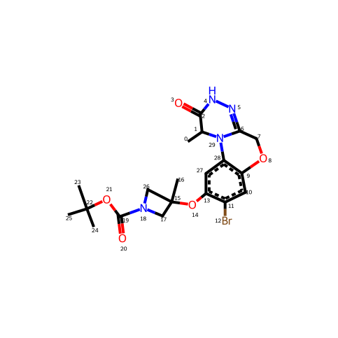 CC1C(=O)NN=C2COc3cc(Br)c(OC4(C)CN(C(=O)OC(C)(C)C)C4)cc3N21